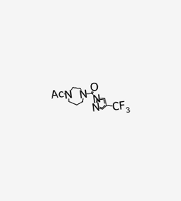 CC(=O)N1CCCN(C(=O)n2cc(C(F)(F)F)cn2)CC1